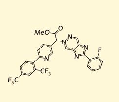 COC(=O)C(c1ccc(-c2ccc(C(F)(F)F)cc2C(F)(F)F)nc1)n1cc2nc(-c3ccccc3F)nc-2cn1